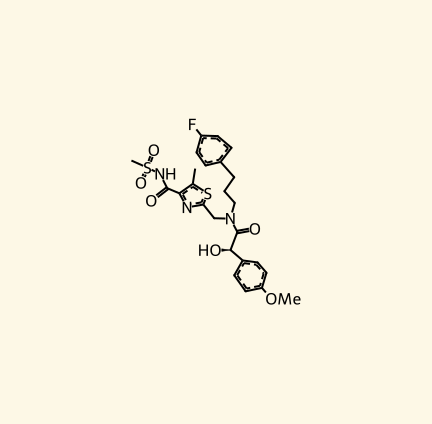 COc1ccc([C@@H](O)C(=O)N(CCCc2ccc(F)cc2)Cc2nc(C(=O)NS(C)(=O)=O)c(C)s2)cc1